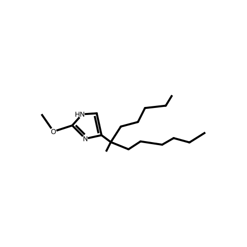 CCCCCCC(C)(CCCCC)c1c[nH]c(OC)n1